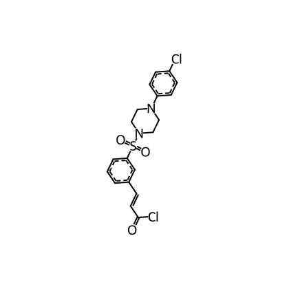 O=C(Cl)C=Cc1cccc(S(=O)(=O)N2CCN(c3ccc(Cl)cc3)CC2)c1